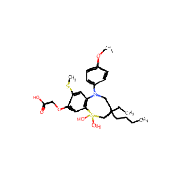 CCCCC1(CC)CN(c2ccc(OC)cc2)c2cc(SC)c(OCC(=O)O)cc2S(O)(O)C1